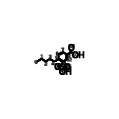 CCCCCc1ccc(C(=O)O)cc1S(=O)(=O)O